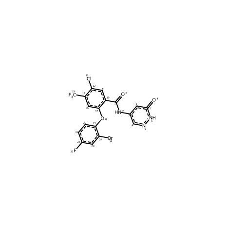 O=C(Nc1cn[nH]c(=O)c1)c1cc(Cl)c(C(F)(F)F)cc1Oc1ccc(F)cc1Br